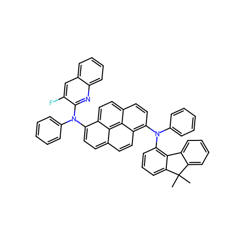 CC1(C)c2ccccc2-c2c(N(c3ccccc3)c3ccc4ccc5c(N(c6ccccc6)c6nc7ccccc7cc6F)ccc6ccc3c4c65)cccc21